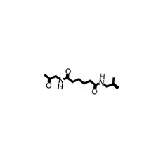 C=C(C)CNC(=O)CCCCC(=O)NCC(C)=O